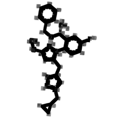 COc1cc(Cc2cn(CC3CC3)nn2)n(-c2ccc(F)cc2[C@@H](C)OCc2ccccc2)n1